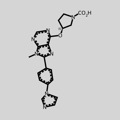 Cn1c(-c2ccc(-n3ccnc3)cc2)nc2c(O[C@H]3CCN(C(=O)O)C3)ncnc21